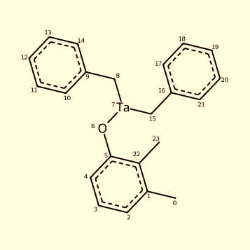 Cc1cccc([O][Ta]([CH2]c2ccccc2)[CH2]c2ccccc2)c1C